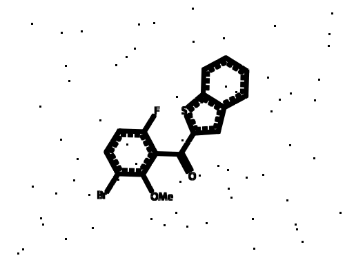 COc1c(Br)ccc(F)c1C(=O)c1cc2ccccc2s1